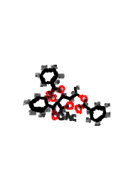 CC(=O)OC1O[C@H]([C@@H](C)OC(=O)c2ccccc2)[C@@H](OC(=O)c2ccccc2)[C@]1(O)C(=O)c1ccccc1